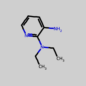 CCN(CC)c1ncccc1N